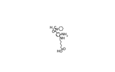 CN(C(=O)c1ccc(NCCCCCC(=O)O)c(N)c1)C1CCCCC1